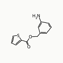 Nc1cccc(COC(=O)c2cccs2)c1